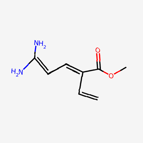 C=C/C(=C\C=C(N)N)C(=O)OC